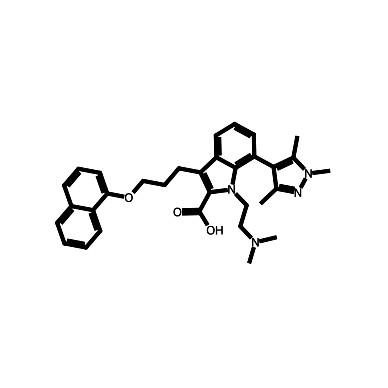 Cc1nn(C)c(C)c1-c1cccc2c(CCCOc3cccc4ccccc34)c(C(=O)O)n(CCN(C)C)c12